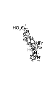 CC(C)C1=C2[C@H]3CC[C@@H]4[C@@]5(C)CC[C@H](OC(=O)CC(C)(C)C(=O)O)C(C)(C)[C@@H]5CC[C@@]4(C)[C@]3(C)CC[C@@]2([C@@H](O)CN(CCN(C)C)Cc2ncccn2)CC1=O